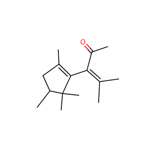 CC(=O)C(=C(C)C)C1=C(C)CC(C)C1(C)C